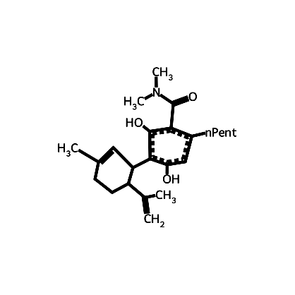 C=C(C)C1CCC(C)=CC1c1c(O)cc(CCCCC)c(C(=O)N(C)C)c1O